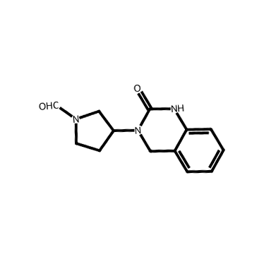 O=CN1CCC(N2Cc3ccccc3NC2=O)C1